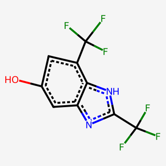 Oc1cc(C(F)(F)F)c2[nH]c(C(F)(F)F)nc2c1